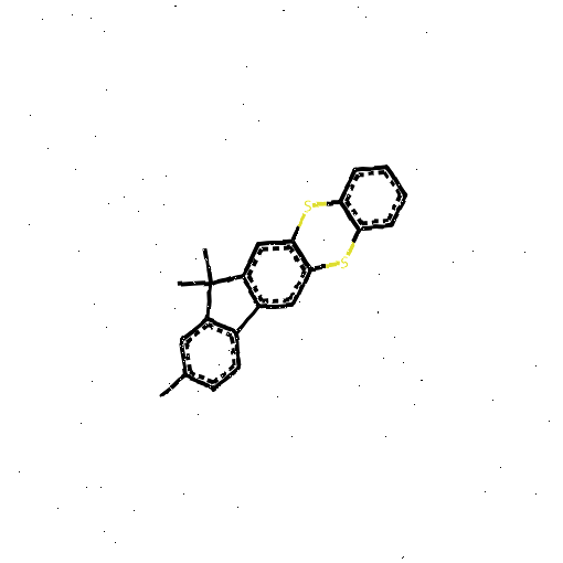 Cc1ccc2c(c1)C(C)(C)c1cc3c(cc1-2)Sc1ccccc1S3